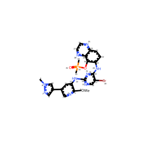 COc1ncc(-c2cnn(C)c2)cc1Nc1ncc(Br)c(Nc2ccc3nccnc3c2OP(C)(C)=O)n1